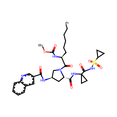 CC(C)CCCCC[C@H](NC(=O)OC(C)(C)C)C(=O)N1C[C@H](NC(=O)c2cnc3ccccc3c2)C[C@H]1C(=O)NC1(C(=O)NS(=O)(=O)C2CC2)CC1